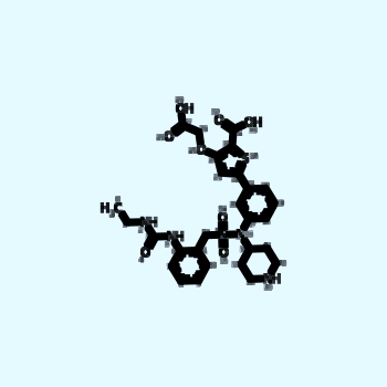 CCNC(=O)Nc1ccccc1CS(=O)(=O)N(c1cccc(-c2cc(OCC(=O)O)c(C(=O)O)s2)c1)C1CCNCC1